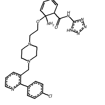 NC1(OCCN2CCN(Cc3cccnc3-c3ccc(Cl)cc3)CC2)C=CC=CC1C(=O)Nc1nnn[nH]1